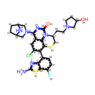 Nc1nc2c(-c3c(Cl)cc4c(N5CC6CCC(C5)N6)nc(=O)n5c4c3SC[C@@H]5CCN3CCC(O)C3)ccc(F)c2s1